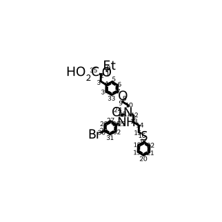 CCOC(Cc1ccc(OCCN(CCCCSc2ccccc2)C(=O)Nc2ccc(Br)cc2)cc1)C(=O)O